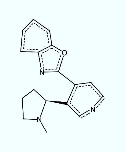 CN1CCC[C@H]1c1cnccc1-c1nc2ccccc2o1